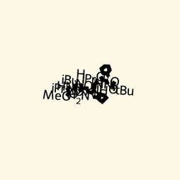 CC[C@H](C)[C@H](NC(=O)C[C@H](N)[C@H](Cc1ccccc1)NC(=O)[C@@H](NC(=O)[C@H](Cc1ccccc1)NC(=O)OC(C)(C)C)C(C)C)C(=O)N[C@H](C(=O)OC)C(C)C